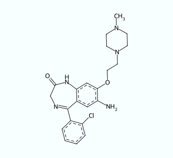 CN1CCN(CCOc2cc3c(cc2N)C(c2ccccc2Cl)=NCC(=O)N3)CC1